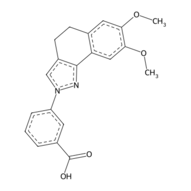 COc1cc2c(cc1OC)-c1nn(-c3cccc(C(=O)O)c3)cc1CC2